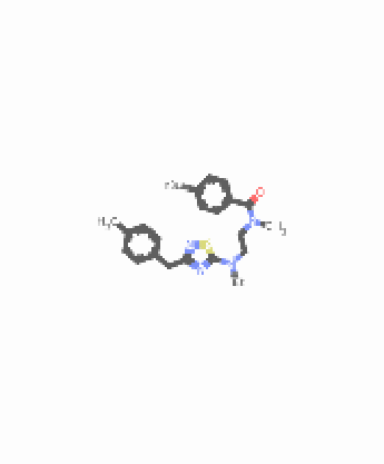 CCCCc1ccc(C(=O)N(C)CCN(CC)c2nc(Cc3ccc(C)cc3)ns2)cc1